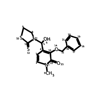 Cn1ccc(C(O)N2CCSC2=S)c(OCc2ccccc2)c1=O